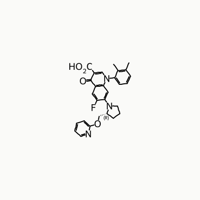 Cc1cccc(-n2cc(C(=O)O)c(=O)c3cc(F)c(N4CCC[C@@H]4COc4ccccn4)cc32)c1C